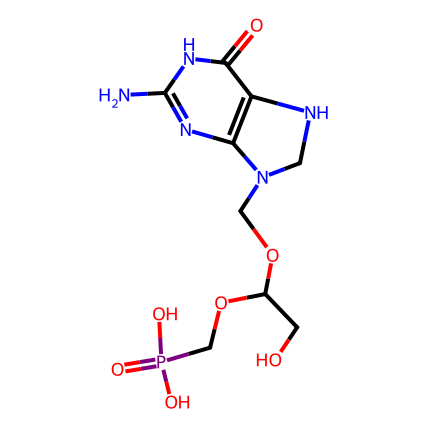 Nc1nc2c(c(=O)[nH]1)NCN2COC(CO)OCP(=O)(O)O